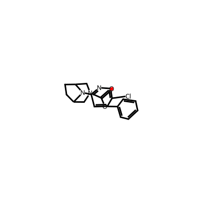 O=C(Oc1ccccc1)N1CC2CCC(C1)N2c1ccc(Cl)cn1